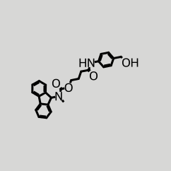 CN(C(=O)OCCCC(=O)Nc1ccc(CO)cc1)C1c2ccccc2-c2ccccc21